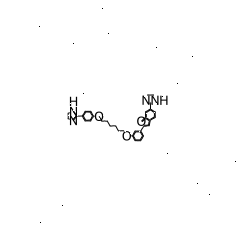 c1cc(OCCCCCCOc2ccc(C3=NCCN3)cc2)cc(-c2cc3ccc(C4=NCCN4)cc3o2)c1